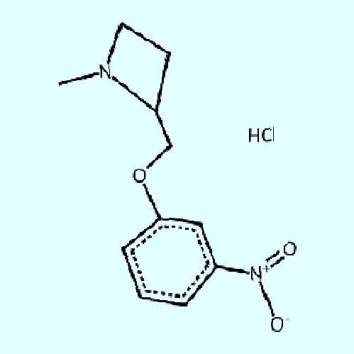 CN1CCC1COc1cccc([N+](=O)[O-])c1.Cl